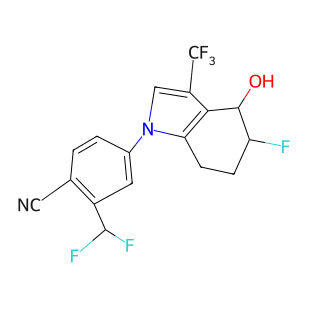 N#Cc1ccc(-n2cc(C(F)(F)F)c3c2CCC(F)C3O)cc1C(F)F